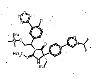 CC(C)(C)C[C@]1(c2ccc(-c3cnn(C(F)F)c3)cc2)NC(=NC(=O)O)N(C(CO[Si](C)(C)C(C)(C)C)c2ccc(Cl)c(-c3nnn[nH]3)c2)C1=O